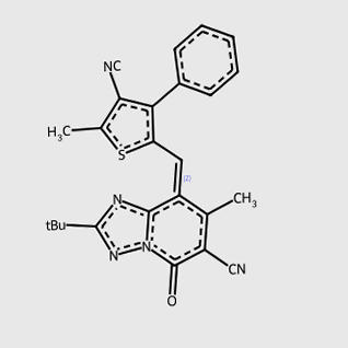 [C-]#[N+]c1c(C)sc(/C=c2/c(C)c(C#N)c(=O)n3nc(C(C)(C)C)nc23)c1-c1ccccc1